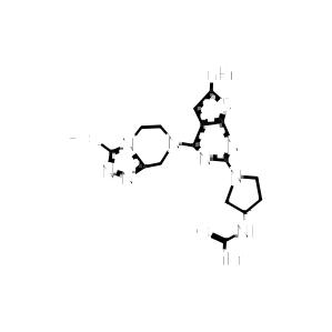 CCCc1cc2c(N3CCn4c(nnc4C(F)(F)F)C3)nc(N3CC[C@H](NC(=O)C(C)C)C3)nc2s1